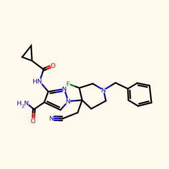 N#CCC1(n2cc(C(N)=O)c(NC(=O)C3CC3)n2)CCN(Cc2ccccc2)CC1F